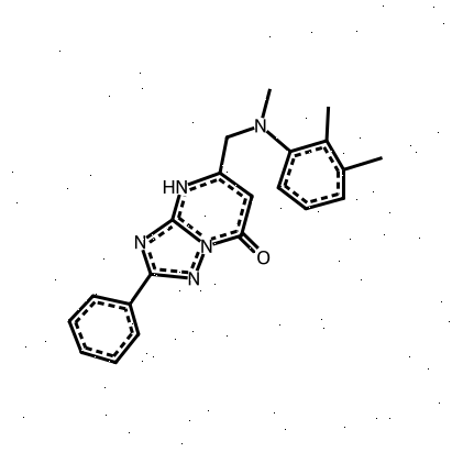 Cc1cccc(N(C)Cc2cc(=O)n3nc(-c4ccccc4)nc3[nH]2)c1C